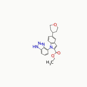 CCOC(=O)c1cc2cc(C3CCOCC3)ccc2n1-c1cccc2[nH]nnc12